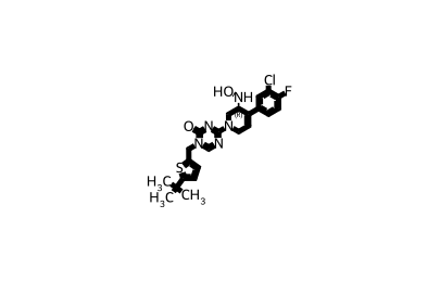 CC(C)(C)c1ccc(Cn2cnc(N3CC=C(c4ccc(F)c(Cl)c4)[C@@H](NO)C3)nc2=O)s1